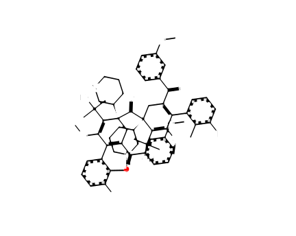 COC1=C(C(C)(C)O)[C@@](C(=O)[C@]2(C3CCCNC3)CC(C(=O)c3cccc(OC)c3)=C(c3cccc(F)c3C)C(OC)=C2C(C)(C)O)(C2CCCNC2)CC(C(=O)c2cccc(OC)c2)=C1c1cccc(F)c1C